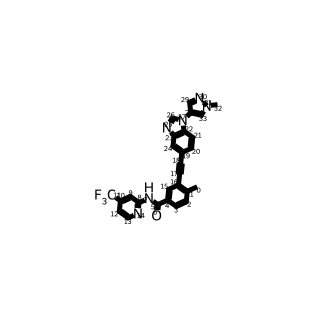 Cc1ccc(C(=O)Nc2cc(C(F)(F)F)ccn2)cc1C#Cc1ccc2c(c1)ncn2-c1cnn(C)c1